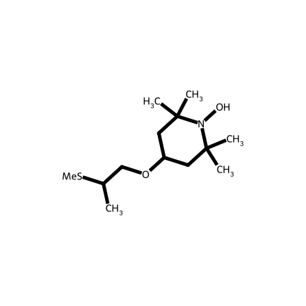 CSC(C)COC1CC(C)(C)N(O)C(C)(C)C1